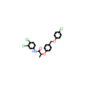 CC(Oc1ccc(COc2ccc(Cl)cc2)cc1)C(=O)Nc1ccc(Cl)c(Cl)c1